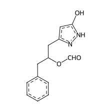 O=COC(Cc1ccccc1)Cc1cc(O)[nH]n1